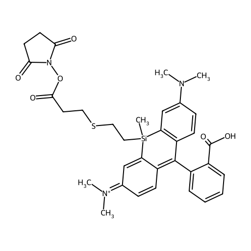 CN(C)c1ccc2c(c1)[Si](C)(CCSCCC(=O)ON1C(=O)CCC1=O)C1=CC(=[N+](C)C)C=CC1=C2c1ccccc1C(=O)O